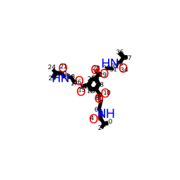 C=C(C)C(=O)NCCOC(=O)c1cc(C(=O)OCCNC(=O)C(=C)C)cc(C(=O)OCCNC(=O)C(=C)C)c1